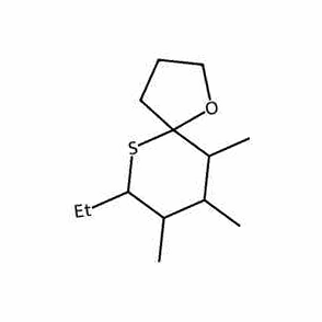 CCC1SC2(CCCO2)C(C)C(C)C1C